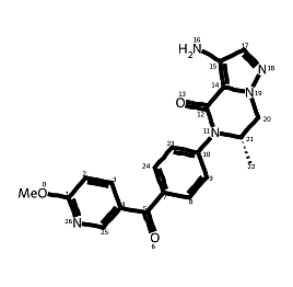 COc1ccc(C(=O)c2ccc(N3C(=O)c4c(N)cnn4C[C@@H]3C)cc2)cn1